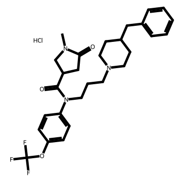 CN1CC(C(=O)N(CCCN2CCC(Cc3ccccc3)CC2)c2ccc(OC(F)(F)F)cc2)CC1=O.Cl